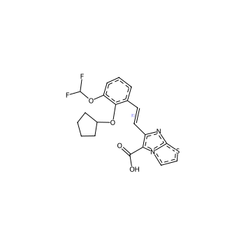 O=C(O)c1c(/C=C/c2cccc(OC(F)F)c2OC2CCCC2)nc2sccn12